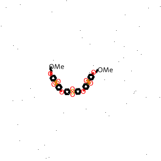 COCCOc1ccc(S(=O)(=O)c2ccc(Oc3ccc(S(=O)(=O)c4ccc(Oc5ccc(S(=O)(=O)c6ccc(OCCOC)cc6)cc5)cc4)cc3)cc2)cc1